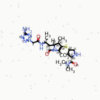 C[C@@H](NC(=O)Cn1nnc(N)n1)[C@H]1C(=O)N2C(C(=O)O)=C(S[C@@H]3CN[C@H](C(=O)N(C)C)C3)[C@H](C)[C@H]12